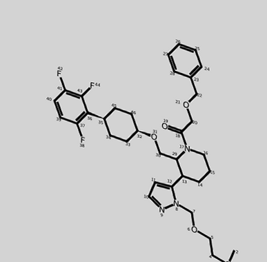 C[Si](C)(C)CCOCn1nccc1C1CCCN(C(=O)COCc2ccccc2)C1CO[C@H]1CC[C@@H](c2c(F)ccc(F)c2F)CC1